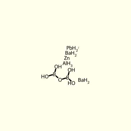 OB(O)OB(O)O.[AlH3].[BaH2].[BaH2].[PbH2].[Zn]